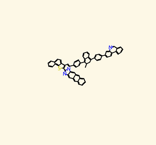 CC1CC(c2ccc(-c3ccc4c(c3)ncc3ccccc34)cc2)=c2ccccc2=C1c1ccc(-c2cc3c4ccc5ccccc5c4sc3c3nc4cc5cc6ccccc6cc5cc4n23)cc1